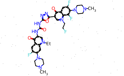 CCn1cc(NC(=O)Nc2nnc(-c3cn(CCF)c4c(F)c(N5CCN(C)CC5)c(F)cc4c3=O)o2)c(=O)c2cc(F)c(N3CCN(C)CC3)cc21